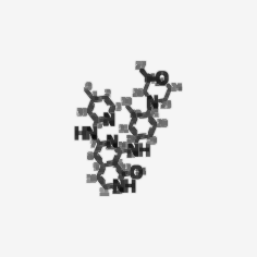 Cc1ccnc(Nc2cc3cc[nH]c(=O)c3c(Nc3ccc(N4CCO[C@H](C)C4)c(C)c3)n2)c1